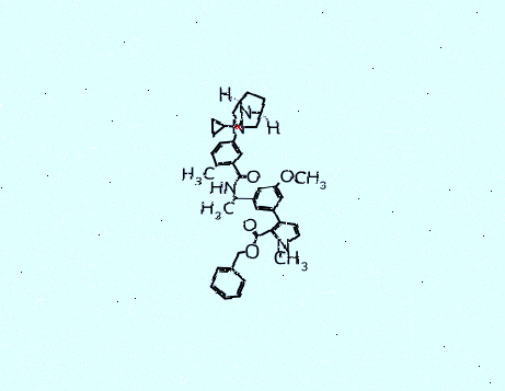 COc1cc(-c2ccn(C)c2C(=O)OCc2ccccc2)cc([C@@H](C)NC(=O)c2cc(N3C[C@H]4CC[C@@H](C3)N4CC3CC3)ccc2C)c1